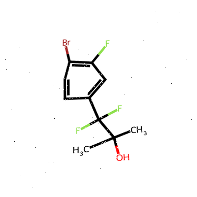 CC(C)(O)C(F)(F)c1ccc(Br)c(F)c1